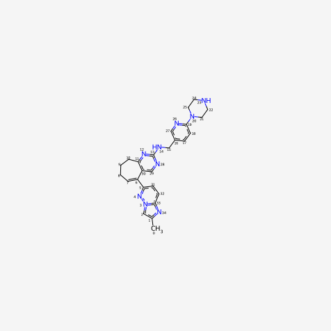 Cc1cn2nc(C3=CCCCc4nc(NCc5ccc(N6CCNCC6)nc5)ncc43)ccc2n1